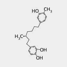 Cc1ccc(CCCC[C@H](C)CCc2ccc(O)c(O)c2)cc1O